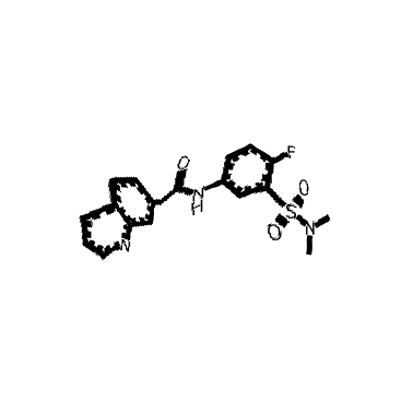 CN(C)S(=O)(=O)c1cc(NC(=O)c2ccc3cccnc3c2)ccc1F